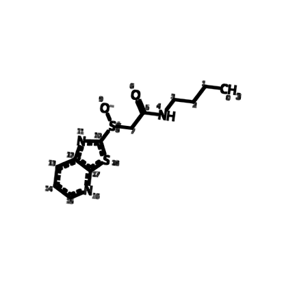 CCCCNC(=O)C[S+]([O-])c1nc2cccnc2s1